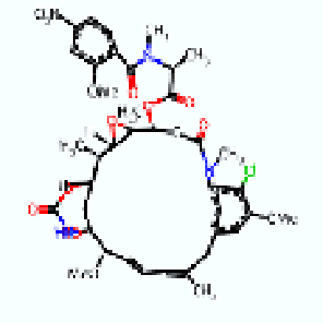 COc1cc([N+](=O)[O-])ccc1C(=O)N(C)[C@@H](C)C(=O)O[C@H]1CC(=O)N(C)c2cc(cc(OC)c2Cl)C/C(C)=C/C=C/[C@@H](OC)[C@@]2(O)C[C@H](OC(=O)N2)[C@@H](C)[C@@H]2O[C@@]12C